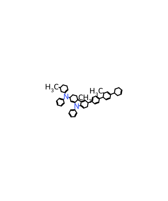 CC1CCC=C(N(c2ccccc2)C2C=C3N(c4ccccc4)C4=CCC(c5ccc(C6C=CC(C7CC=CCC7)=CC6C)cc5)C=C4C3(C)CC2)C1